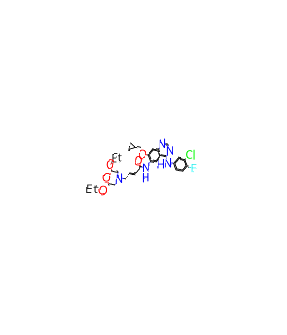 CCOC1CN(CC=CC(=O)Nc2cc3c(Nc4ccc(F)c(Cl)c4)ncnc3cc2OCC2CC2)CC(OCC)O1